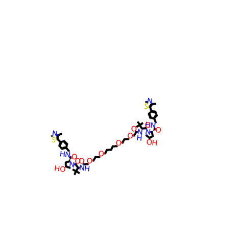 Cc1ncsc1-c1ccc(CNC(=O)[C@@H]2C[C@@H](O)CN2C(=O)C(NC(=O)COCCCOCCCCCOCCCOCC(=O)NC(C(=O)N2C[C@H](O)C[C@H]2C(=O)NCc2ccc(-c3scnc3C)cc2)C(C)(C)C)C(C)(C)C)cc1